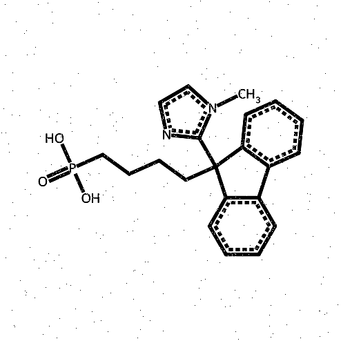 Cn1ccnc1C1(CCCCP(=O)(O)O)c2ccccc2-c2ccccc21